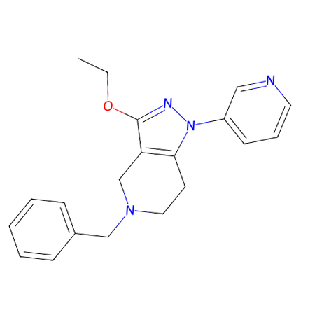 CCOc1nn(-c2cccnc2)c2c1CN(Cc1ccccc1)CC2